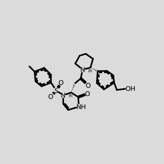 Cc1ccc(S(=O)(=O)N2C=CNC(=O)[C@H]2CC(=O)N2CCCC[C@@H]2c2ccc(CO)cc2)cc1